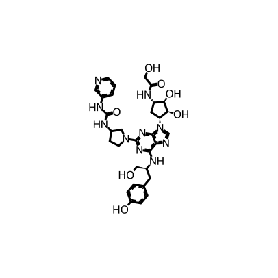 O=C(CO)N[C@H]1C[C@@H](n2cnc3c(N[C@H](CO)Cc4ccc(O)cc4)nc(N4CCC(NC(=O)Nc5cccnc5)C4)nc32)[C@H](O)[C@@H]1O